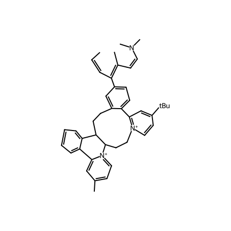 C\C=C/C(=C(C)/C=C\N(C)C)c1ccc2c(c1)CCC1c3ccccc3-c3cc(C)cc[n+]3C1CC[n+]1ccc(C(C)(C)C)cc1-2